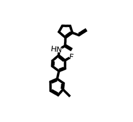 C=CC1=C(C(=C)Nc2ccc(-c3cccc(C)c3)cc2F)CCC1